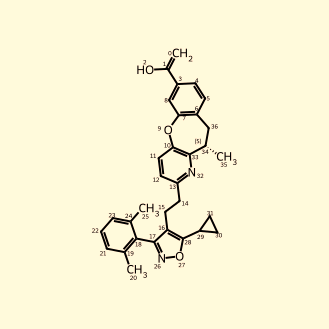 C=C(O)c1ccc2c(c1)Oc1ccc(CCc3c(-c4c(C)cccc4C)noc3C3CC3)nc1[C@@H](C)C2